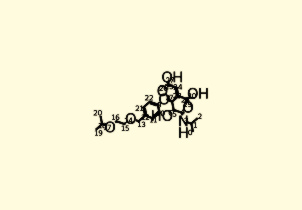 CC(C)NCC(O)C(Oc1ccc(COCCOC(C)C)cc1)/C(=C\C(=O)O)C(=O)O